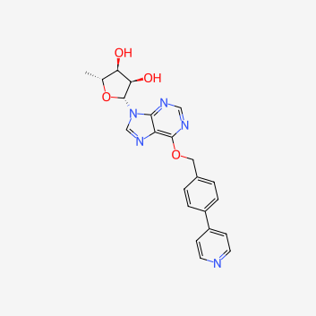 C[C@H]1O[C@@H](n2cnc3c(OCc4ccc(-c5ccncc5)cc4)ncnc32)[C@H](O)[C@@H]1O